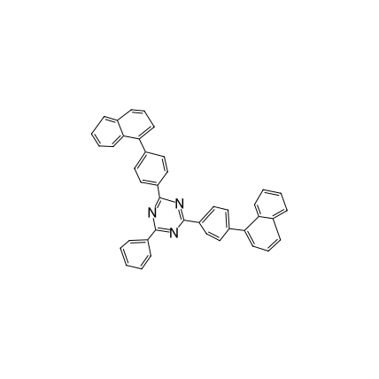 c1ccc(-c2nc(-c3ccc(-c4cccc5ccccc45)cc3)nc(-c3ccc(-c4cccc5ccccc45)cc3)n2)cc1